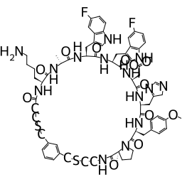 COc1ccc(C[C@@H]2NC(=O)[C@H](CC3=NC=NC3)NC(=O)[C@H](CC(=O)O)NC(=O)[C@H](Cc3c[nH]c4ccc(F)cc34)NC(=O)[C@H](Cc3c[nH]c4ccc(F)cc34)NC(=O)[C@@H](C)NC(=O)[C@H](CCCCN)NC(=O)CCSCc3cccc(c3)CSCCNC(=O)[C@]3(C)CCCN3C2=O)cc1